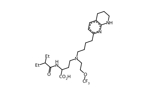 CCC(CC)C(=O)NC(CCN(CCCCc1ccc2c(n1)NCCC2)CCOC(F)(F)F)C(=O)O